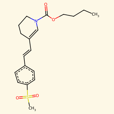 CCCCOC(=O)N1C=C(C=Cc2ccc(S(C)(=O)=O)cc2)CCC1